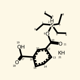 CC[SH](CC)(CC)(CC)OC(=O)c1cccc(C(=O)O)c1.[KH]